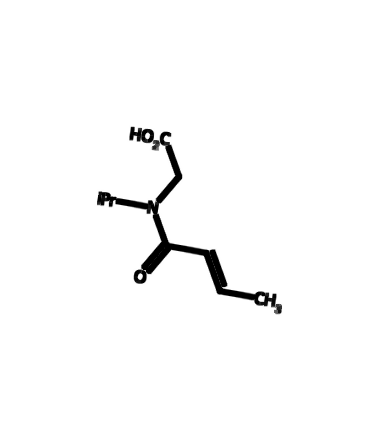 C/C=C/C(=O)N(CC(=O)O)C(C)C